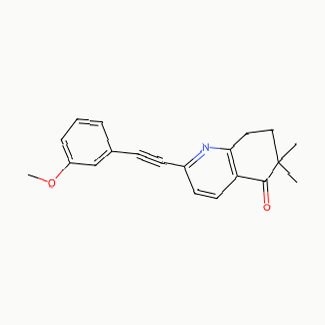 COc1cccc(C#Cc2ccc3c(n2)CCC(C)(C)C3=O)c1